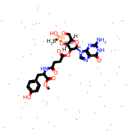 B[PH]1(O)OC[C@H]2O[C@@H](n3cnc4c(=O)[nH]c(N)nc43)C(OC(=O)CCC(=O)NC(Cc3ccc(O)cc3)C(=O)OC)[C@H]2O1